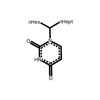 CCCCCCCC(CCCCCC)n1ccc(=O)[nH]c1=O